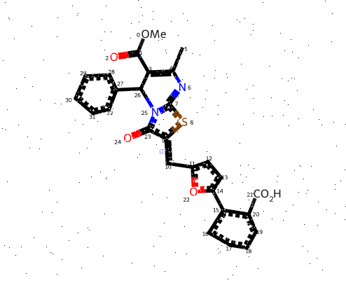 COC(=O)C1=C(C)N=c2s/c(=C\c3ccc(-c4ccccc4C(=O)O)o3)c(=O)n2C1c1ccccc1